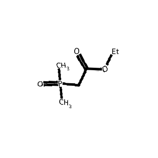 CCOC(=O)CP(C)(C)=O